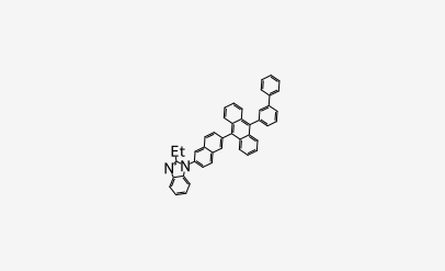 CCc1nc2ccccc2n1-c1ccc2cc(-c3c4ccccc4c(-c4cccc(-c5ccccc5)c4)c4ccccc34)ccc2c1